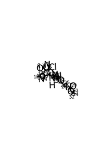 COc1cnc(Cl)cc1-c1cc(C)ncc1C(=O)Nc1nnc(OCC2CN(C(=O)OC(C)(C)C)C2)s1